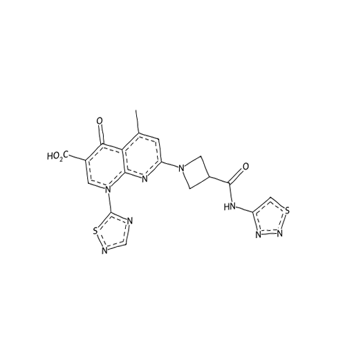 Cc1cc(N2CC(C(=O)Nc3csnn3)C2)nc2c1c(=O)c(C(=O)O)cn2-c1ncns1